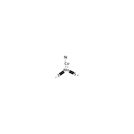 [Co].[Ni].[S]=[Mo]=[S]